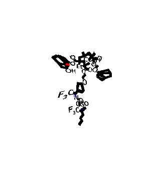 C=CCC/C(=C/S(=O)(=O)O/N=C(\c1ccc(OCCOC(=O)C(C)(CC)CC(C)(CC(C)(CC(C)(C)C(=O)OCOC2C3CC4CC(C3)CC2C4)C(=O)O)C(=O)OC23CC4CC(CC(O)(C4)C2)C3)cc1)C(F)(F)F)C(F)(F)F